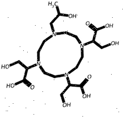 CC(O)CN1CCN(C(CO)C(=O)O)CCN(C(CO)C(=O)O)CCN(C(CO)C(=O)O)CC1